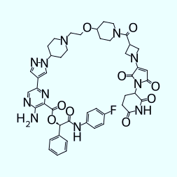 Nc1ncc(-c2cnn(C3CCN(CCOC4CCN(C(=O)C5CN(C6=CC(=O)N(C7CCC(=O)NC7=O)C6=O)C5)CC4)CC3)c2)nc1C(=O)O[C@@H](C(=O)Nc1ccc(F)cc1)c1ccccc1